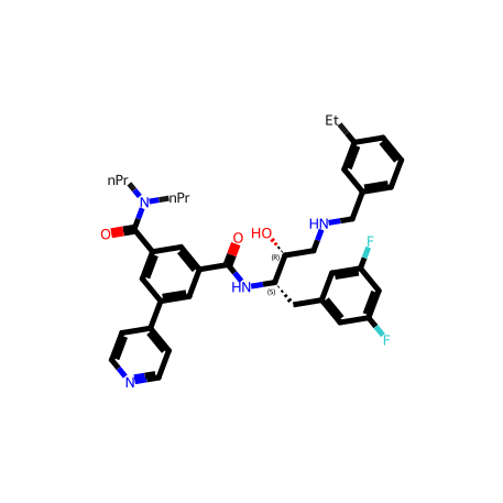 CCCN(CCC)C(=O)c1cc(C(=O)N[C@@H](Cc2cc(F)cc(F)c2)[C@H](O)CNCc2cccc(CC)c2)cc(-c2ccncc2)c1